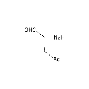 CC(=O)CCC=O.[NaH]